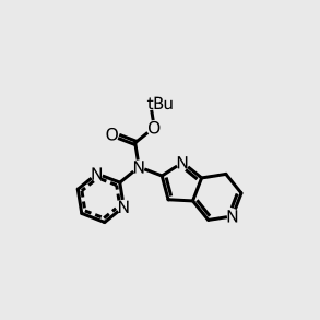 CC(C)(C)OC(=O)N(C1=CC2=CN=CCC2=N1)c1ncccn1